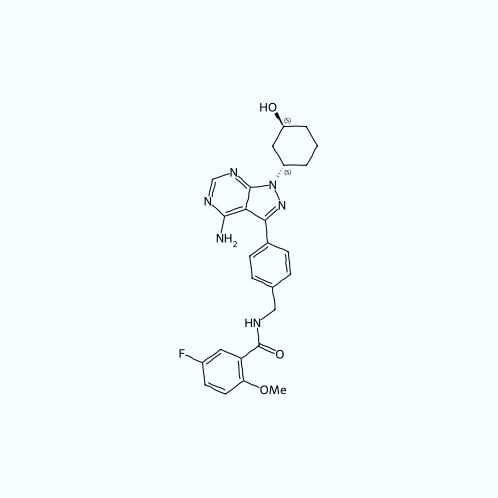 COc1ccc(F)cc1C(=O)NCc1ccc(-c2nn([C@H]3CCC[C@H](O)C3)c3ncnc(N)c23)cc1